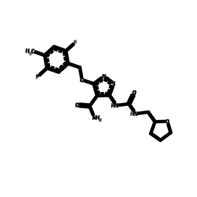 Cc1cc(F)c(COc2nsc(NC(=O)NCC3CCCO3)c2C(N)=O)cc1F